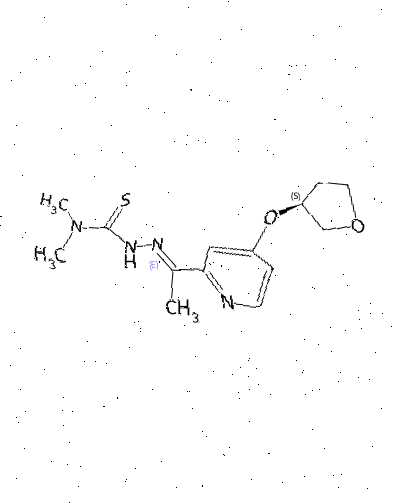 C/C(=N\NC(=S)N(C)C)c1cc(O[C@H]2CCOC2)ccn1